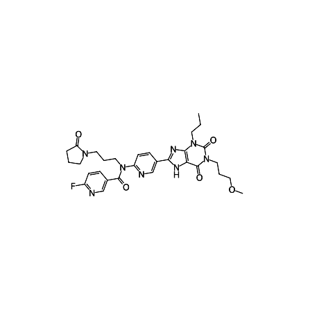 CCCn1c(=O)n(CCCOC)c(=O)c2[nH]c(-c3ccc(N(CCCN4CCCC4=O)C(=O)c4ccc(F)nc4)nc3)nc21